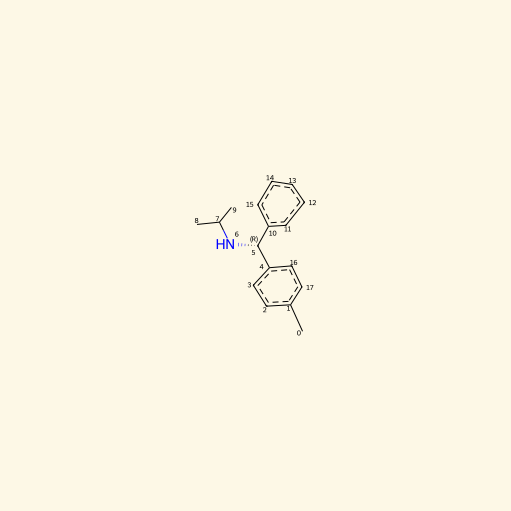 Cc1ccc([C@H](NC(C)C)c2ccccc2)cc1